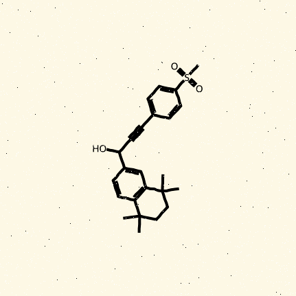 CC1(C)CCC(C)(C)c2cc(C(O)C#Cc3ccc(S(C)(=O)=O)cc3)ccc21